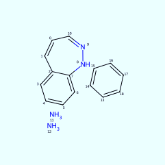 C1=Cc2ccccc2NN=C1.N.N.c1ccccc1